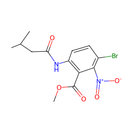 COC(=O)c1c(NC(=O)CC(C)C)ccc(Br)c1[N+](=O)[O-]